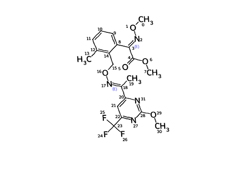 CO/N=C(/C(=O)OC)c1cccc(C)c1CO/N=C(\C)c1cc(C(F)(F)F)nc(OC)n1